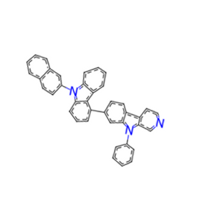 c1ccc(-n2c3cnccc3c3ccc(-c4cccc5c4c4ccccc4n5-c4ccc5ccccc5c4)cc32)cc1